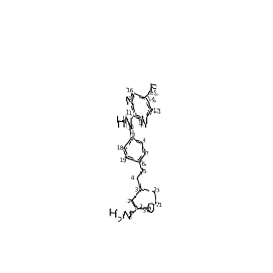 NC1CC(CCc2ccc(Nc3ncc(F)cn3)cc2)CCO1